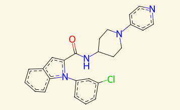 O=C(NC1CCN(c2ccncc2)CC1)c1cc2ccccc2n1-c1cccc(Cl)c1